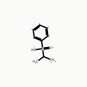 CC(C)P(=O)(O)c1ccccc1